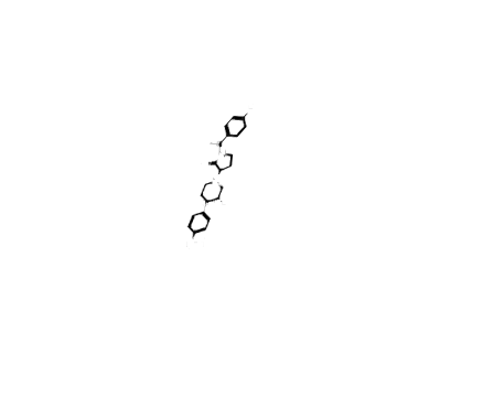 C[C@@H](c1ccc(F)cc1)N1CCC(N2CC[C@H](c3ccc(O)cc3)[C@@H](F)C2)C1=O